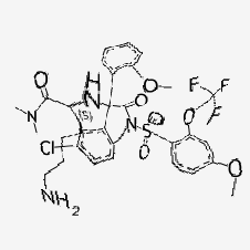 COc1ccc(S(=O)(=O)N2C(=O)C(N[C@@H](CCCCN)C(=O)N(C)C)(c3ccccc3OC)c3cc(Cl)ccc32)c(OC(F)(F)F)c1